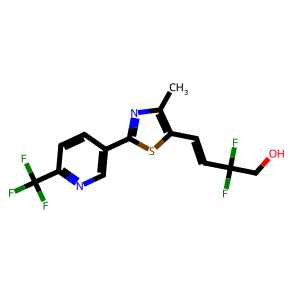 Cc1nc(-c2ccc(C(F)(F)F)nc2)sc1C=CC(F)(F)CO